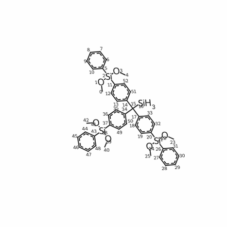 CO[Si](OC)(c1ccccc1)c1ccc(C([SiH3])(c2ccc([Si](OC)(OC)c3ccccc3)cc2)c2ccc([Si](OC)(OC)c3ccccc3)cc2)cc1